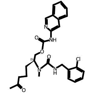 CC(=O)CCC[C@@H](COC(=O)Nc1cc2ccccc2cn1)N(C)C(=O)NCc1ccccc1Cl